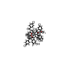 CCNC(=O)C(c1c(C)n(C(=O)c2ccc(Cl)cc2)c2cc(F)c(O)cc12)C(C(=O)NC)(c1c(C)n(C(=O)c2ccc(Cl)cc2)c2cc(F)c(O)cc12)C(C(N)=O)c1c(C)n(C(=O)c2ccc(Cl)cc2)c2cc(F)c(O)cc12